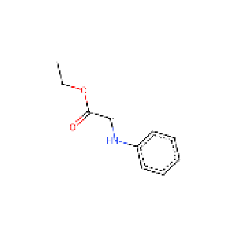 CCOC(=O)[CH]Nc1ccccc1